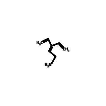 C=CC(C=C)=CC[SiH3]